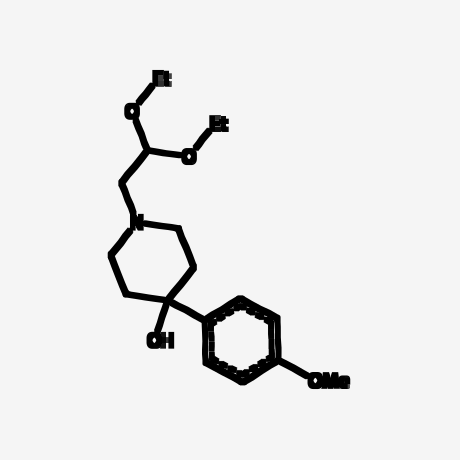 CCOC(CN1CCC(O)(c2ccc(OC)cc2)CC1)OCC